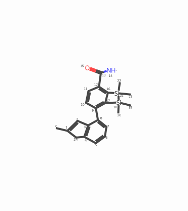 CC1=Cc2c(cccc2-c2ccc(C([NH])=O)c3c2[Si](C)(C)[Si]3(C)C)C1